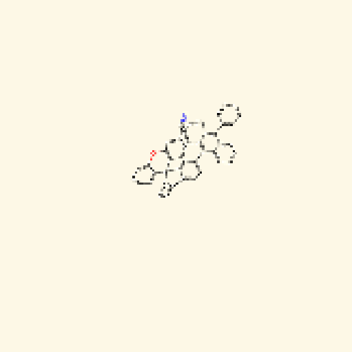 N#Cc1ccc2c(c1)Oc1ccccc1C21c2ccccc2-c2ccc(-c3c4ccccc4c(-c4ccccc4)c4ccccc34)cc21